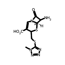 Cn1nnnc1SCC1S[C@@H]2C(N)C(=O)N2C=C1C(=O)O